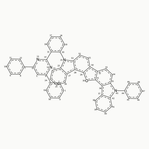 c1ccc(-c2cc(-c3ccccc3)nc(-c3ccccc3-n3c4ccccc4c4c5oc6c(ccc7c6c6ccccc6n7-c6ccccc6)c5ccc43)n2)cc1